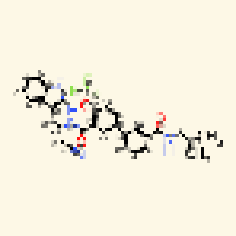 CC(C)CNC(=O)c1cccc(-c2ccc(OC(F)(F)F)c(C(=O)NC(CC#N)Cc3c[nH]c4ccccc34)c2)c1